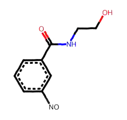 O=Nc1cccc(C(=O)NCCO)c1